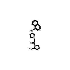 N#CC1CCCN1C(=O)CN1CC[C@H](Nc2cncc3ccccc23)C1